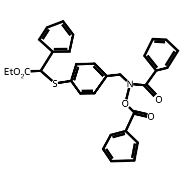 CCOC(=O)C(Sc1ccc(CN(OC(=O)c2ccccc2)C(=O)c2ccccc2)cc1)c1ccccc1